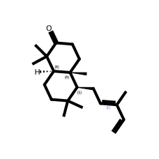 C=C/C(C)=C/C[C@H]1C(C)(C)CC[C@H]2C(C)(C)C(=O)CC[C@]12C